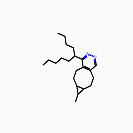 CCCCCC(CCCC)c1nncc2c1CCC1C(C)C1CC2